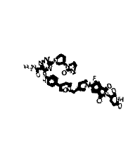 CN1CCN(C2CCCN(c3nnc(C(N)=O)c(Nc4ccc(C5CCN(CC6CCN(c7cc8c(cc7F)C(=O)N(C7CCC(=O)NC7=O)C8=O)C6)CC5)cc4)n3)C2)C1=O